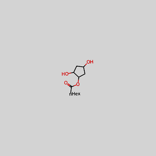 CCCCCCC(=O)OC1CC(O)CC1O